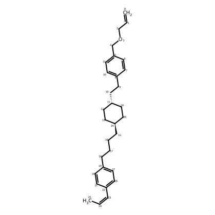 C=CCOCc1ccc(CC[C@H]2CC[C@H](CCCCc3ccc(/C=C\C)cc3)CC2)cc1